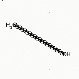 COCCOCCOCCOCCOCCOCCOCCOCCOCCOCCOCCOCCOCCOCCOCCOCCOCCOCCOCCOCCO